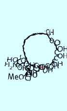 COC(=O)CNC(=O)[C@H]1[C@@H]2C[C@@H](O[C@@H]3O[C@H](C)[C@@H](O)[C@H](N)[C@@H]3O)/C=C/C=C/C=C/C=C/C=C/C=C/C=C/[C@H](C)[C@@H](O)[C@@H](C)[C@H](C)OC(=O)C[C@H](O)C[C@H](O)CC[C@@H](O)[C@H](O)C[C@H](O)C[C@](O)(C[C@@H]1O)O2